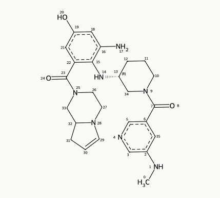 CNc1cncc(C(=O)N2CCC[C@@H](Nc3c(N)cc(O)cc3C(=O)N3CCN4C=CCC4C3)C2)c1